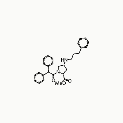 COC(=O)[C@@H]1C[C@H](NCCCc2ccccc2)CN1C(=O)C(c1ccccc1)c1ccccc1